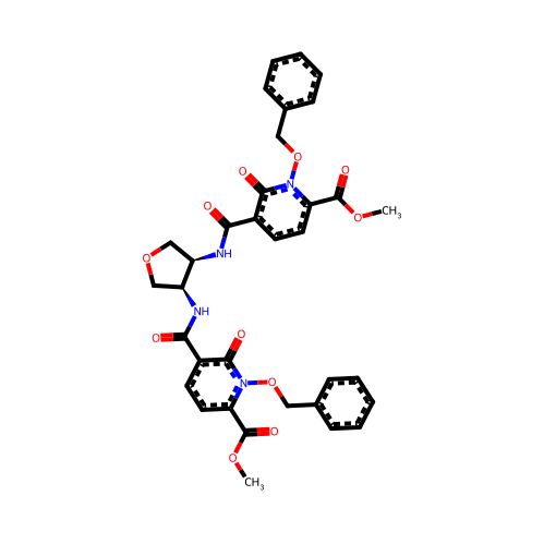 COC(=O)c1ccc(C(=O)N[C@H]2COC[C@H]2NC(=O)c2ccc(C(=O)OC)n(OCc3ccccc3)c2=O)c(=O)n1OCc1ccccc1